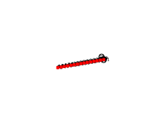 CCCCCCCCCCCCCCCCCCCCCCCCCCCC(=O)OCC